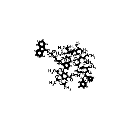 CC[C@H](C)[C@@H]([C@@H](CC(=O)N1CCC[C@H]1[C@H](OC)[C@@H](C)C(=O)N[C@@H](Cc1ccccc1)c1nccs1)OC)N(C)C(=O)[C@@H](NC(=O)[C@H](C(C)C)N(C)C(=O)OCc1ccc(O[C@@H]2O[C@H](C(=O)OC)[C@@H](OC(C)=O)[C@H](OC(C)=O)[C@H]2OC(C)=O)c(NC(=O)CCNC(=O)OCC2c3ccccc3-c3ccccc32)c1)C(C)C